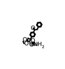 CC(C)(C)C1C2(CC1(OC(N)=O)c1ccc(C(=O)Cc3ccccc3)cc1)OCCO2